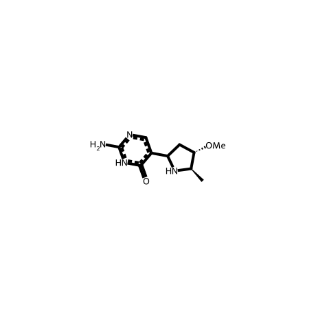 CO[C@H]1CC(c2cnc(N)[nH]c2=O)N[C@@H]1C